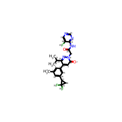 Cc1cc(-c2cc(=O)n(CC(=O)Nc3ncncc3F)nc2C(C)C)cc(C2CC2(F)F)c1